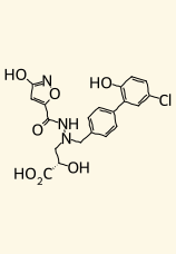 O=C(NN(Cc1ccc(-c2cc(Cl)ccc2O)cc1)C[C@H](O)C(=O)O)c1cc(O)no1